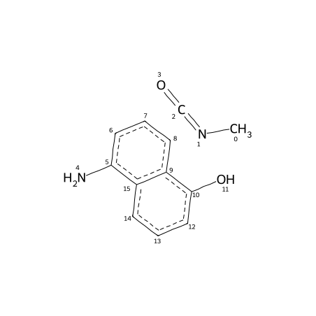 CN=C=O.Nc1cccc2c(O)cccc12